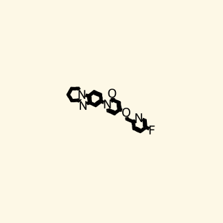 O=c1cc(OCc2ccc(F)cn2)ccn1-c1ccc2c(c1)nc1n2CCCC1